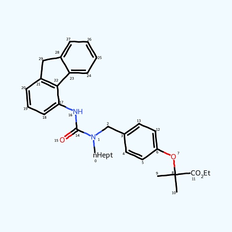 CCCCCCCN(Cc1ccc(OC(C)(C)C(=O)OCC)cc1)C(=O)Nc1cccc2c1-c1ccccc1C2